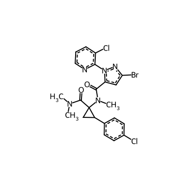 CN(C)C(=O)C1(N(C)C(=O)c2cc(Br)nn2-c2ncccc2Cl)CC1c1ccc(Cl)cc1